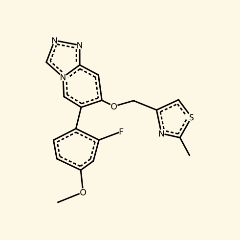 COc1ccc(-c2cn3cnnc3cc2OCc2csc(C)n2)c(F)c1